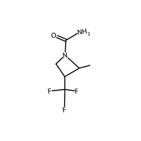 CC1C(C(F)(F)F)CN1C(N)=O